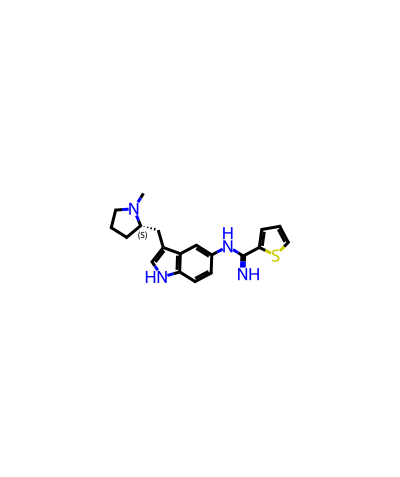 CN1CCC[C@H]1Cc1c[nH]c2ccc(NC(=N)c3cccs3)cc12